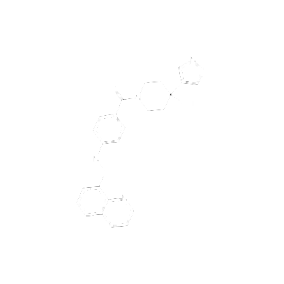 O=C(c1ccc(NSc2cccc3cccnc23)cc1)N1CCC(O)(c2cnsc2)CC1